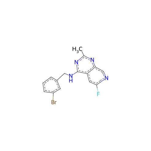 Cc1nc(NCc2cccc(Br)c2)c2cc(F)ncc2n1